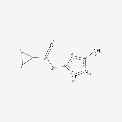 Cc1cc(CC(=O)C2CC2)on1